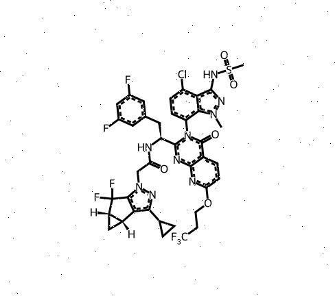 Cn1nc(NS(C)(=O)=O)c2c(Cl)ccc(-n3c([C@H](Cc4cc(F)cc(F)c4)NC(=O)Cn4nc(C5CC5)c5c4C(F)(F)[C@H]4C[C@@H]54)nc4nc(OCCC(F)(F)F)ccc4c3=O)c21